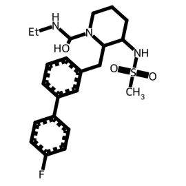 CCNC(O)N1CCCC(NS(C)(=O)=O)C1Cc1cccc(-c2ccc(F)cc2)c1